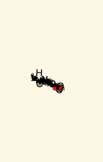 CC[C@H]1C[C@H](CNC(=O)n2cnc(-c3ccc(OCc4ccc(S(C)(=O)=O)cc4)cc3)c2)C1